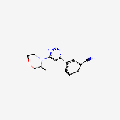 CC1COCCN1c1cc(-c2cccc(C#N)c2)ncn1